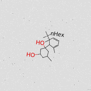 CCCCCCC(C)(C)C1(C)C=CC=C(C)C1C1(O)CC(C)CC(O)C1